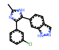 Cc1nc(-c2cccc(Cl)c2)c(-c2ccc3cn[nH]c3c2)[nH]1